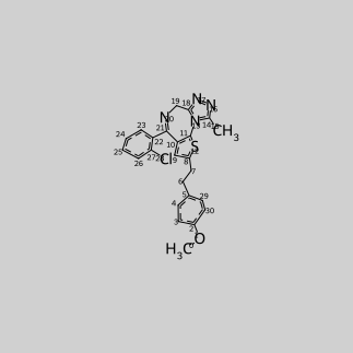 COc1ccc(CCc2cc3c(s2)-n2c(C)nnc2CN=C3c2ccccc2Cl)cc1